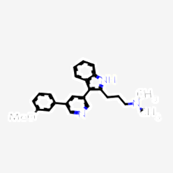 COc1cccc(-c2cncc(-c3c(CCCN(C)C)[nH]c4ccccc34)c2)c1